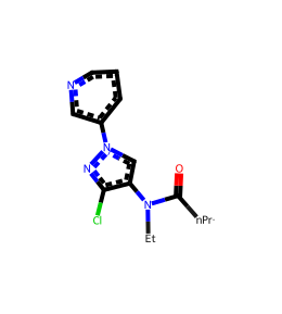 CC[CH]C(=O)N(CC)c1cn(-c2cccnc2)nc1Cl